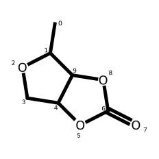 CC1OCC2OC(=O)OC12